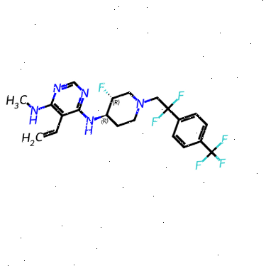 C=Cc1c(NC)ncnc1N[C@@H]1CCN(CC(F)(F)c2ccc(C(F)(F)F)cc2)C[C@H]1F